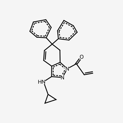 C=CC(=O)n1nc(NC2CC2)c2c1CC(c1ccccc1)(c1ccccc1)C=C2